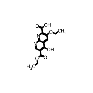 CCOC(=O)c1cnc2nc(C(=O)O)c(OCC)cc2c1O